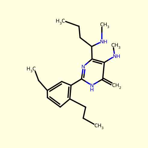 C=C1NC(c2cc(CC)ccc2CCC)=NC(C(CCC)NC)=C1NC